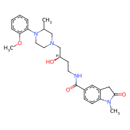 COc1ccccc1N1CCN(C[C@H](O)CCNC(=O)c2ccc3c(c2)CC(=O)N3C)CC1C